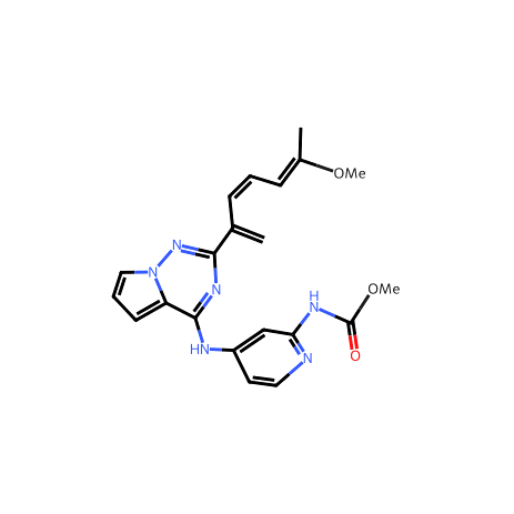 C=C(/C=C\C=C(/C)OC)c1nc(Nc2ccnc(NC(=O)OC)c2)c2cccn2n1